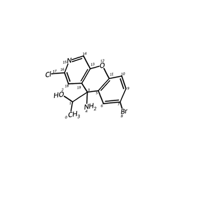 CC(O)C1(N)c2cc(Br)ccc2Oc2cnc(Cl)cc21